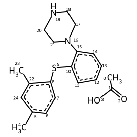 CC(=O)O.Cc1ccc(Sc2ccccc2N2CCNCC2)c(C)c1